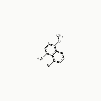 COc1ncc(N)c2c(Br)cccc12